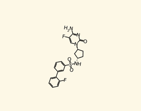 Nc1nc(=O)n([C@H]2CC[C@H](NS(=O)(=O)c3cccc(-c4ccccc4F)c3)C2)cc1F